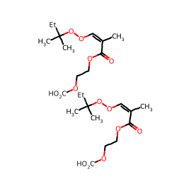 CCC(C)(C)OOC=C(C)C(=O)OCCOC(=O)O.CCC(C)(C)OOC=C(C)C(=O)OCCOC(=O)O